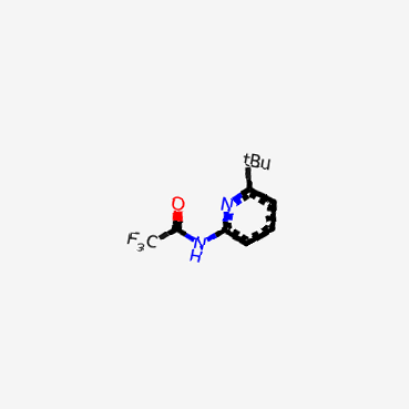 CC(C)(C)c1cccc(NC(=O)C(F)(F)F)n1